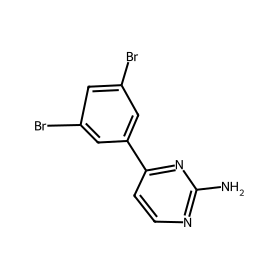 Nc1nccc(-c2cc(Br)cc(Br)c2)n1